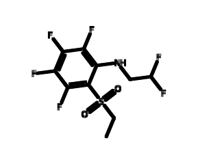 CCS(=O)(=O)c1c(F)c(F)c(F)c(F)c1NCC(F)F